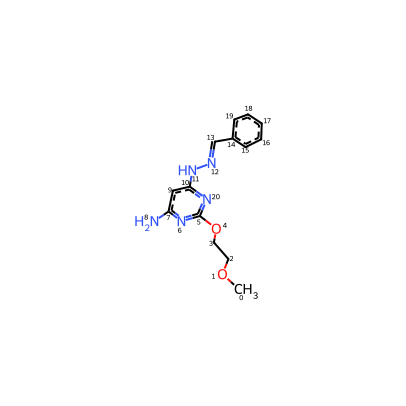 COCCOc1nc(N)cc(NN=Cc2ccccc2)n1